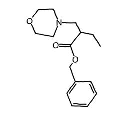 CCC(CN1CCOCC1)C(=O)OCc1ccccc1